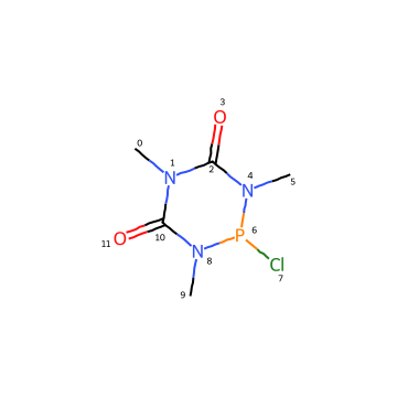 CN1C(=O)N(C)P(Cl)N(C)C1=O